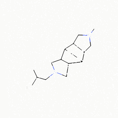 CC(C)CN1CC2C3CCC(C4CN(C)CC34)C2C1